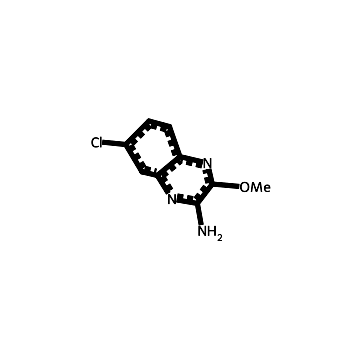 COc1nc2ccc(Cl)cc2nc1N